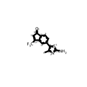 Cc1nc(N)sc1-c1ccc2c(c1)C(C(F)(F)F)=CC2=O